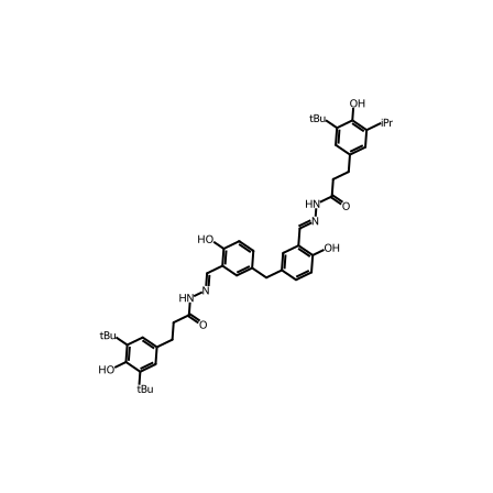 CC(C)c1cc(CCC(=O)N/N=C/c2cc(Cc3ccc(O)c(/C=N/NC(=O)CCc4cc(C(C)(C)C)c(O)c(C(C)(C)C)c4)c3)ccc2O)cc(C(C)(C)C)c1O